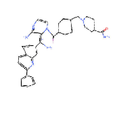 NC(=O)C1CCN(CC2CCC(C(I)N3C=CN=C(N)/C3=C(/N)c3ccc4ccc(-c5ccccc5)nc4c3)CC2)CC1